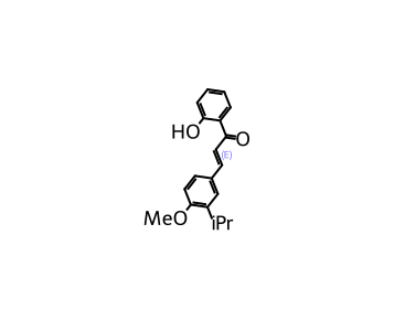 COc1ccc(/C=C/C(=O)c2ccccc2O)cc1C(C)C